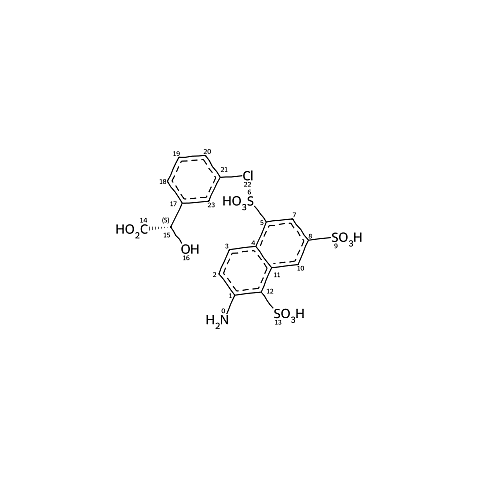 Nc1ccc2c(S(=O)(=O)O)cc(S(=O)(=O)O)cc2c1S(=O)(=O)O.O=C(O)[C@@H](O)c1cccc(Cl)c1